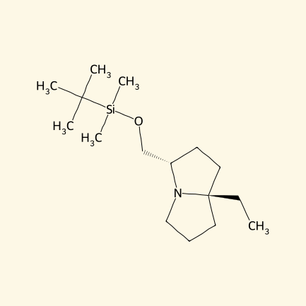 CC[C@@]12CCCN1[C@H](CO[Si](C)(C)C(C)(C)C)CC2